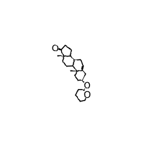 C[C@]12CC[C@H](OC3CCCCO3)CC1=CCC1C2CC[C@]2(C)C(=O)CCC12